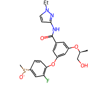 CCn1ccc(NC(=O)c2cc(Oc3ccc([S+](C)[O-])cc3F)cc(O[C@@H](C)CO)c2)n1